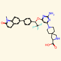 Cn1c(=O)ccc2cc(-c3ccc([C@@H](Oc4cc(N5CCC6(CC5)CNC(C(=O)O)C6)nc(N)n4)C(F)(F)F)cc3)ccc21